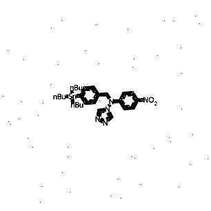 CCC[CH2][Sn]([CH2]CCC)([CH2]CCC)[c]1ccc(CN(c2ccc([N+](=O)[O-])cc2)n2cnnc2)cc1